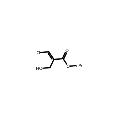 CCCOC(=O)C(=CCl)CO